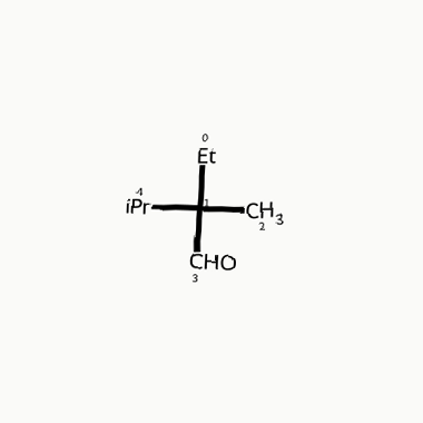 CCC(C)(C=O)C(C)C